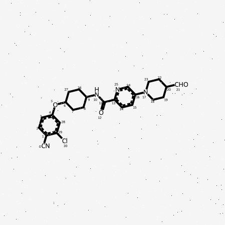 N#Cc1ccc(OC2CCC(NC(=O)c3ccc(N4CCC(C=O)CC4)cn3)CC2)cc1Cl